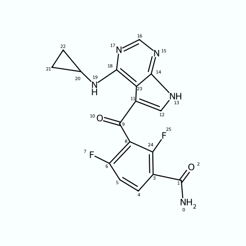 NC(=O)c1ccc(F)c(C(=O)c2c[nH]c3ncnc(NC4CC4)c23)c1F